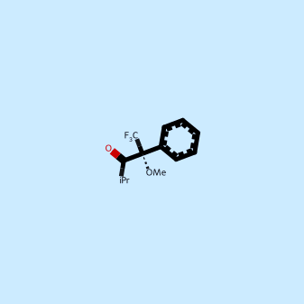 CO[C@@](C(=O)C(C)C)(c1ccccc1)C(F)(F)F